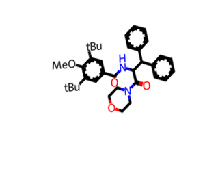 COc1c(C(C)(C)C)cc(C(=O)NC(C(=O)N2CCOCC2)C(c2ccccc2)c2ccccc2)cc1C(C)(C)C